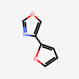 [c]1nc(-c2ccco2)co1